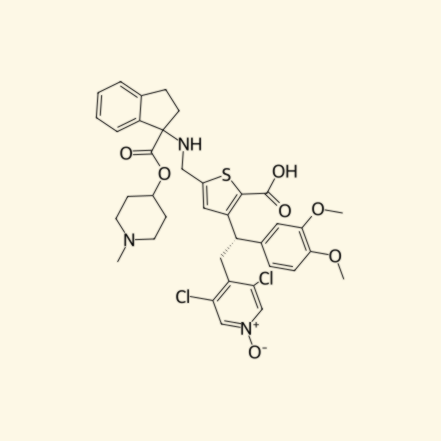 COc1ccc([C@H](Cc2c(Cl)c[n+]([O-])cc2Cl)c2cc(CNC3(C(=O)OC4CCN(C)CC4)CCc4ccccc43)sc2C(=O)O)cc1OC